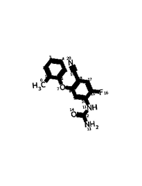 Cc1ccccc1Oc1cc(NC(N)=O)c(F)cc1C#N